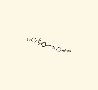 CCCCC[C@H]1CC[C@H](/C=C/C#Cc2ccc(OC(=O)[C@H]3CC[C@H](CC)CC3)cc2)CC1